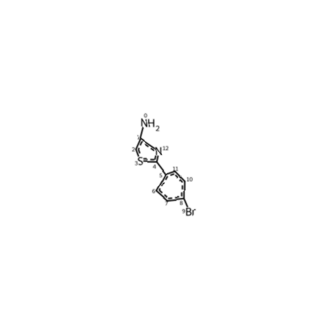 Nc1csc(-c2ccc(Br)cc2)n1